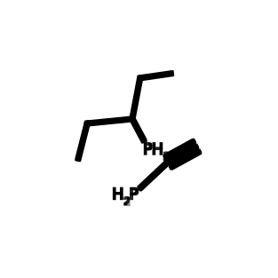 C#CP.CCC(P)CC